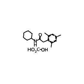 Cc1cc(C)c(CC(=O)NC2CCCCC2)c(C)c1.O=C(O)O